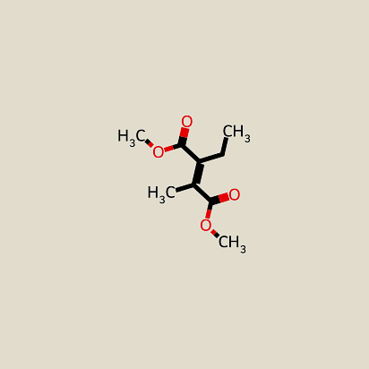 CCC(C(=O)OC)=C(C)C(=O)OC